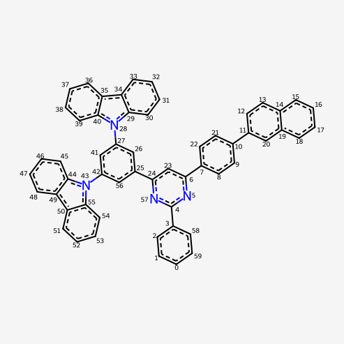 c1ccc(-c2nc(-c3ccc(-c4ccc5ccccc5c4)cc3)cc(-c3cc(-n4c5ccccc5c5ccccc54)cc(-n4c5ccccc5c5ccccc54)c3)n2)cc1